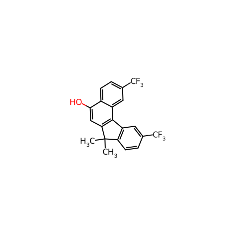 CC1(C)c2ccc(C(F)(F)F)cc2-c2c1cc(O)c1ccc(C(F)(F)F)cc21